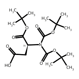 CC(C)(C)OC(=O)[C@H](CC(=O)O)N(C(=O)OC(C)(C)C)C(=O)OC(C)(C)C